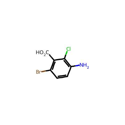 Nc1ccc(Br)c(C(=O)O)c1Cl